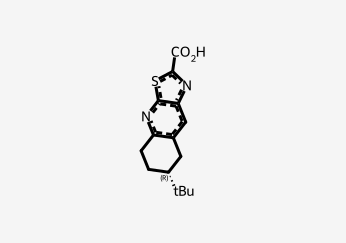 CC(C)(C)[C@@H]1CCc2nc3sc(C(=O)O)nc3cc2C1